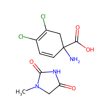 CN1CC(=O)NC1=O.NC1(C(=O)O)C=CC(Cl)=C(Cl)C1